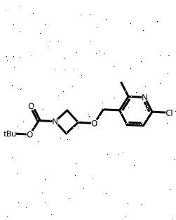 Cc1nc(Cl)ccc1COC1CN(C(=O)OC(C)(C)C)C1